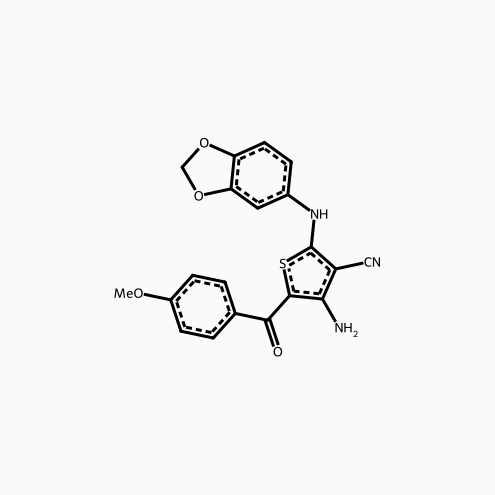 COc1ccc(C(=O)c2sc(Nc3ccc4c(c3)OCO4)c(C#N)c2N)cc1